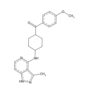 COc1ccc(C(=O)C2CCC(Nc3nccc4[nH]nc(C)c34)CC2)cc1